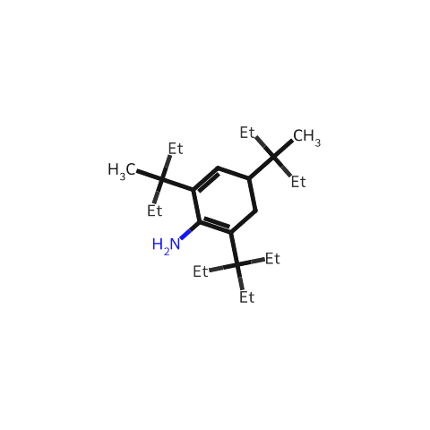 CCC(C)(CC)C1=CC(C(C)(CC)CC)CC(C(CC)(CC)CC)=C1N